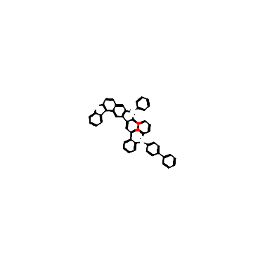 c1ccc(-c2ccc(N(c3ccccc3)c3ccccc3-c3ccc4c(c3)c3cc5c(ccc6oc7ccccc7c65)cc3n4-c3ccccc3)cc2)cc1